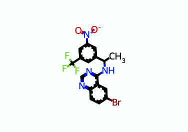 CC(Nc1ncnc2ccc(Br)cc12)c1cc([N+](=O)[O-])cc(C(F)(F)F)c1